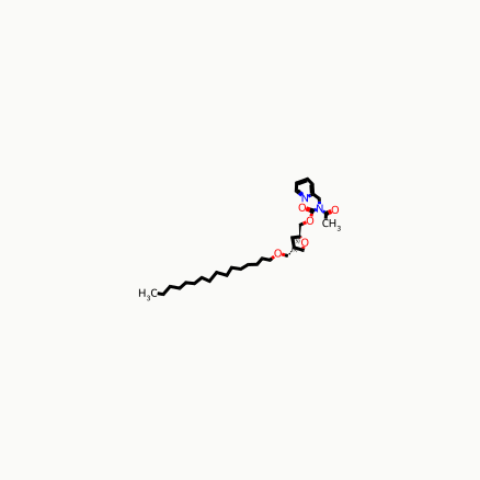 CCCCCCCCCCCCCCCCOC[C@H]1CO[C@H](COC(=O)N(Cc2ccccn2)C(C)=O)C1